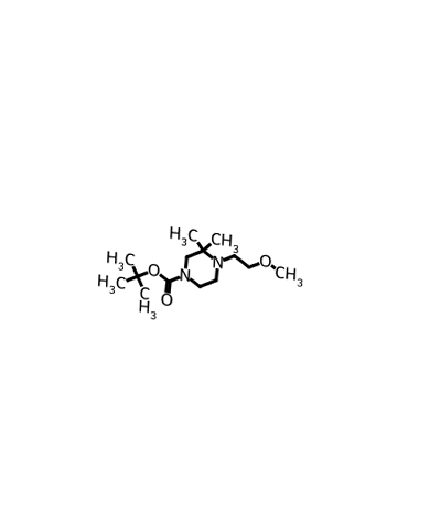 COCCN1CCN(C(=O)OC(C)(C)C)CC1(C)C